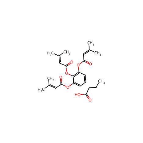 CC(C)=CC(=O)Oc1cccc(OC(=O)C=C(C)C)c1OC(=O)C=C(C)C.CCCC(=O)O